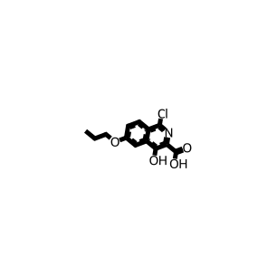 CCCOc1ccc2c(Cl)nc(C(=O)O)c(O)c2c1